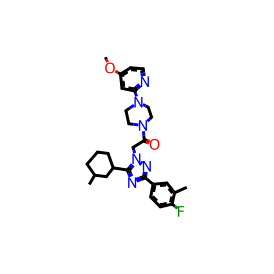 COc1ccnc(N2CCN(C(=O)Cn3nc(-c4ccc(F)c(C)c4)nc3C3CCCC(C)C3)CC2)c1